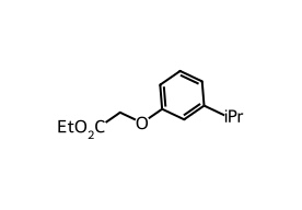 CCOC(=O)COc1cccc(C(C)C)c1